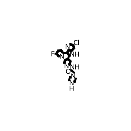 O=C(CN1CCNCC1)Nc1cc(-c2[nH]c3cc(Cl)cnc3c2-c2ccc(F)cn2)ccn1